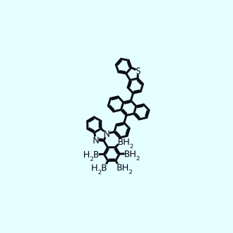 Bc1c(B)c(B)c(-c2nc3ccccc3n2-c2cccc(-c3c4ccccc4c(-c4ccc5sc6ccccc6c5c4)c4ccccc34)c2)c(B)c1B